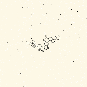 Cc1ccc2c(ncn2C2CCCCO2)c1-c1cc2ncc3c(c2cc1Cl)N1CCN(C(=O)OC(C)(C)C)C[C@@H]1CO3